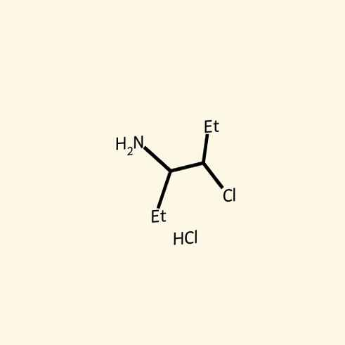 CCC(N)C(Cl)CC.Cl